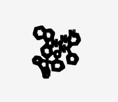 c1ccc(-c2nc(-n3c4ccc5ccccc5c4c4ccc5c(c43)Oc3ccccc3C53c4ccccc4-c4ccccc43)nc3ncccc23)cc1